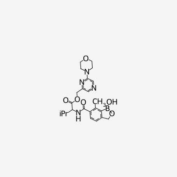 Cc1c(C(=O)NC(C(=O)OCc2cncc(N3CCOCC3)n2)C(C)C)ccc2c1B(O)OC2